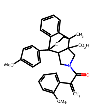 C=C(C(=O)N1CC2C3(c4ccc(OC)cc4)CCC(C)(c4ccccc43)C2(C(=O)O)C1)c1ccccc1OC